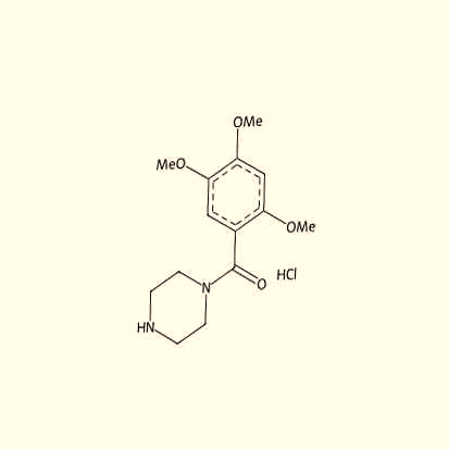 COc1cc(OC)c(C(=O)N2CCNCC2)cc1OC.Cl